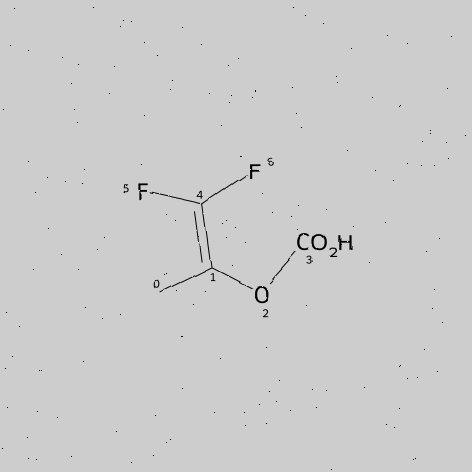 CC(OC(=O)O)=C(F)F